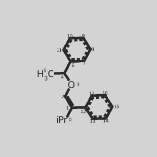 CC(C)C(=COC(C)c1ccccc1)c1ccccc1